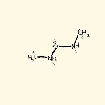 C[NH][Zr][NH]C